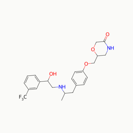 CC(Cc1ccc(OCC2CNC(=O)CO2)cc1)NCC(O)c1cccc(C(F)(F)F)c1